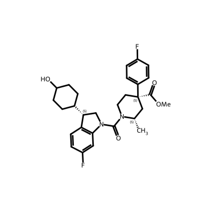 COC(=O)[C@@]1(c2ccc(F)cc2)CCN(C(=O)N2C[C@@H](C3CCC(O)CC3)c3ccc(F)cc32)[C@@H](C)C1